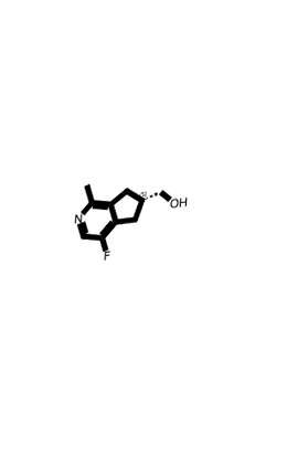 Cc1ncc(F)c2c1C[C@H](CO)C2